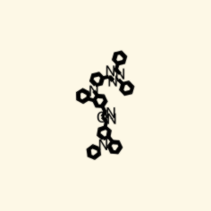 c1ccc(-c2nc(-c3ccccc3)nc(-c3cccc(-n4c5ccccc5c5cc(-c6nnc(-c7ccc8c(c7)c7ccccc7n8-c7ccccc7)o6)ccc54)c3)n2)cc1